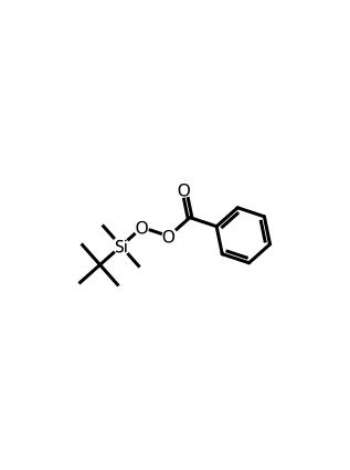 CC(C)(C)[Si](C)(C)OOC(=O)c1ccccc1